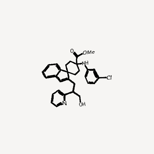 COC(=O)C1(Nc2cccc(Cl)c2)CCC2(CC1)C(CC(CO)c1ccccn1)=Cc1ccccc12